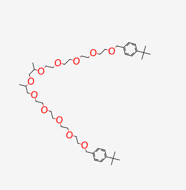 CC(COCCOCCOCCOCCOCc1ccc(C(C)(C)C)cc1)OCC(C)OCCOCCOCCOCCOCc1ccc(C(C)(C)C)cc1